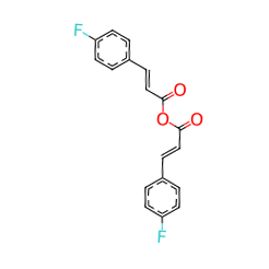 O=C(C=Cc1ccc(F)cc1)OC(=O)C=Cc1ccc(F)cc1